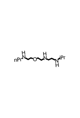 CCCNCCOCCNCCNC(C)C